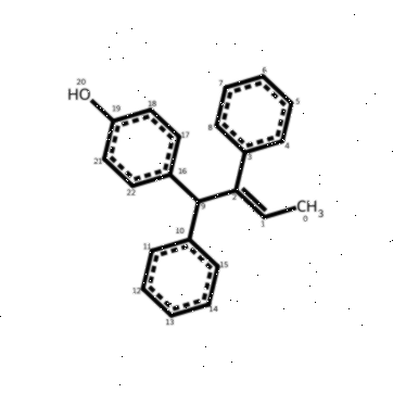 C/C=C(\c1ccccc1)C(c1ccccc1)c1ccc(O)cc1